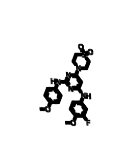 COc1ccc(Nc2nc(Nc3ccc(OC)c(F)c3)cc(N3CCS(=O)(=O)CC3)n2)cc1